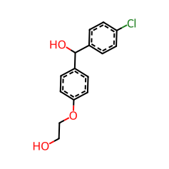 OCCOc1ccc(C(O)c2ccc(Cl)cc2)cc1